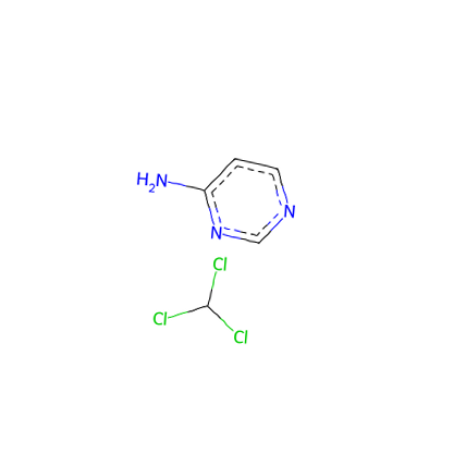 ClC(Cl)Cl.Nc1ccncn1